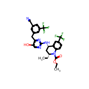 CCOC(=O)N1c2ccc(C(F)(F)F)cc2[C@@H](Nc2ncc(O)c(Cc3cc(C#N)cc(C(F)(F)F)c3)n2)C[C@H]1CC